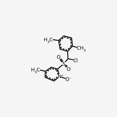 Cc1ccc(C)c(C(Cl)S(=O)(=O)c2cc(C)cc[n+]2[O-])c1